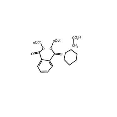 C1CCCCC1.CC(=O)O.CCCCCCCCOC(=O)c1ccccc1C(=O)OCCCCCCCC